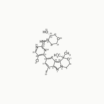 CC1(C)OCCn2nc3c(F)cc(-c4nc(N[C@@H]5CCOC[C@H]5O)ncc4Cl)cc3c21